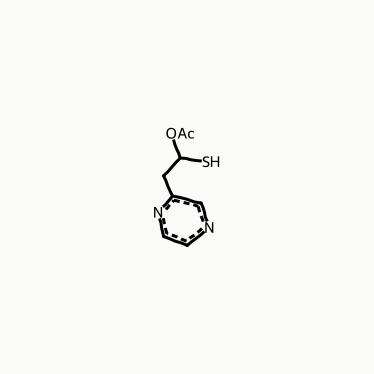 CC(=O)OC(S)Cc1cnccn1